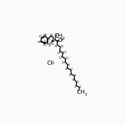 CCCCCCCCCCCCCCCCCC(=O)[N+](C)(C)Cc1ccccc1.[Cl-]